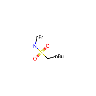 CCCCCS(=O)(=O)[N]CCC